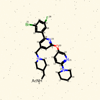 CC(=O)NCC1CCN(Cc2cc(Oc3ccc(N4CCCCC4)nc3)nc(-c3cc(F)cc(Br)c3)c2)CC1